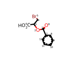 O=C(OC(CBr)C(=O)O)c1ccccc1